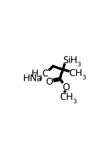 CCC(C)([SiH3])C(=O)OC.[NaH]